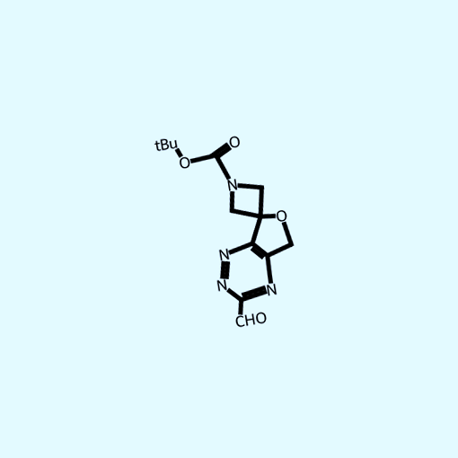 CC(C)(C)OC(=O)N1CC2(C1)OCc1nc(C=O)nnc12